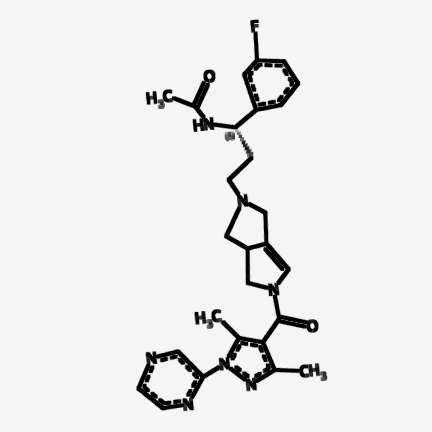 CC(=O)N[C@@H](CCN1CC2=CN(C(=O)c3c(C)nn(-c4cnccn4)c3C)CC2C1)c1cccc(F)c1